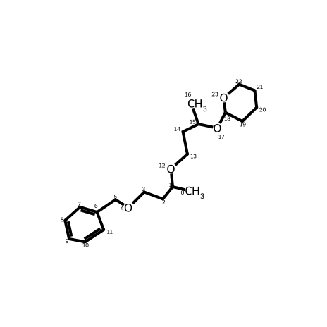 CC(CCOCc1ccccc1)OCCC(C)OC1CCCCO1